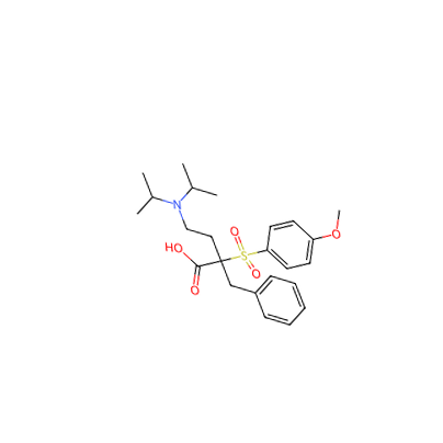 COc1ccc(S(=O)(=O)C(CCN(C(C)C)C(C)C)(Cc2ccccc2)C(=O)O)cc1